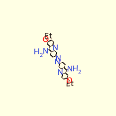 CCOc1ccc2nc3cc(/N=N/c4ccc5c(N)c6cc(OCC)ccc6nc5c4)ccc3c(N)c2c1